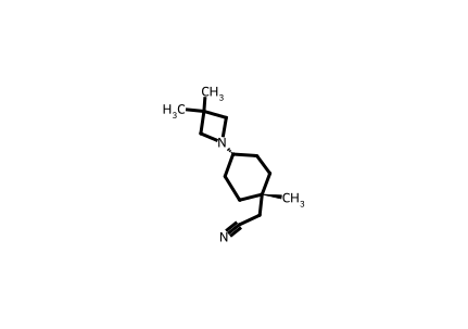 CC1(C)CN([C@H]2CC[C@@](C)(CC#N)CC2)C1